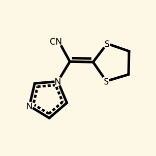 [C-]#[N+]C(=C1SCCS1)n1ccnc1